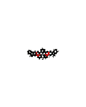 CC1(C)c2ccccc2-c2ccc(-c3ccc4c(c3)N(c3c(-c5ccccc5)cccc3-c3ccccc3)c3cc(-c5ccc6c(c5)C(C)(C)c5ccccc5-6)ccc3O4)cc21